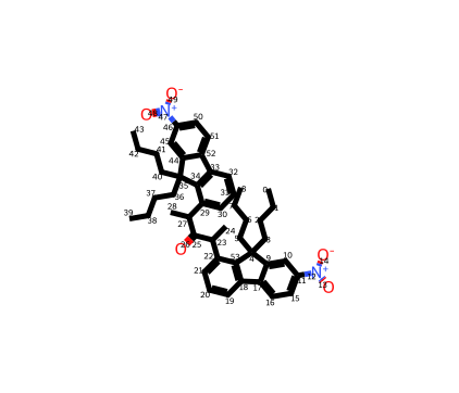 CCCCC1(CCCC)c2cc([N+](=O)[O-])ccc2-c2cccc(C(C)C(=O)C(C)c3cccc4c3C(CCCC)(CCCC)c3cc([N+](=O)[O-])ccc3-4)c21